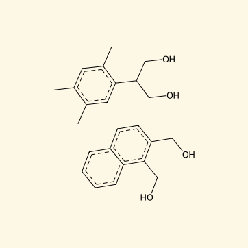 Cc1cc(C)c(C(CO)CO)cc1C.OCc1ccc2ccccc2c1CO